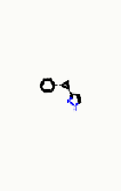 c1ccc([C@@H]2C[C@H]2c2cc[nH]n2)cc1